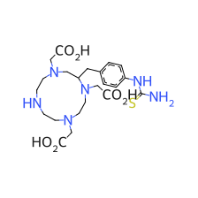 NC(=S)Nc1ccc(CC2CN(CC(=O)O)CCNCCN(CC(=O)O)CCN2CC(=O)O)cc1